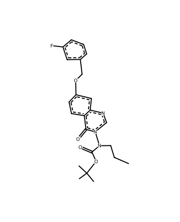 CCCN(C(=O)OC(C)(C)C)n1cnc2cc(OCc3cccc(F)c3)ccc2c1=O